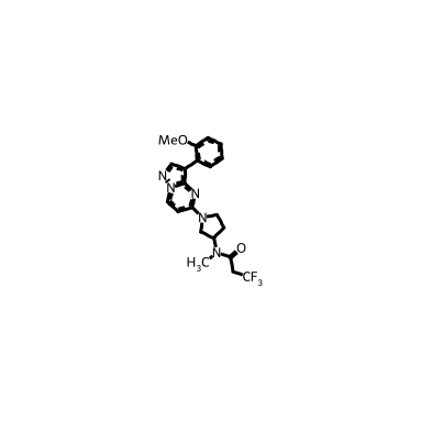 COc1ccccc1-c1cnn2ccc(N3CCC(N(C)C(=O)CC(F)(F)F)C3)nc12